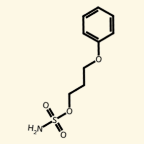 NS(=O)(=O)OCCCOc1ccccc1